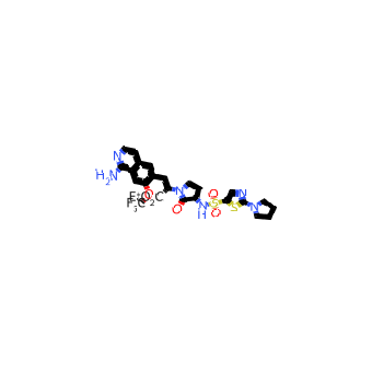 CCOC(=O)C(Cc1cc2ccnc(N)c2cc1OC(F)(F)F)N1CCC(NS(=O)(=O)c2cnc(N3CCCC3)s2)C1=O